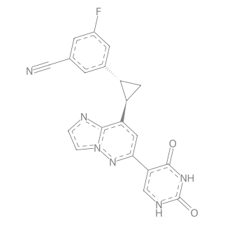 N#Cc1cc(F)cc([C@@H]2C[C@H]2c2cc(-c3c[nH]c(=O)[nH]c3=O)nn3ccnc23)c1